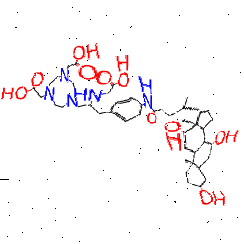 CC(CCC(=O)Nc1ccc(CC(CN2CCN(CC(=O)O)CCN(CC(=O)O)CC2)NCC(=O)O)cc1)[C@H]1CCC2C3C(CC(O)[C@@]21C)[C@@]1(C)CC[C@@H](O)CC1C[C@H]3O